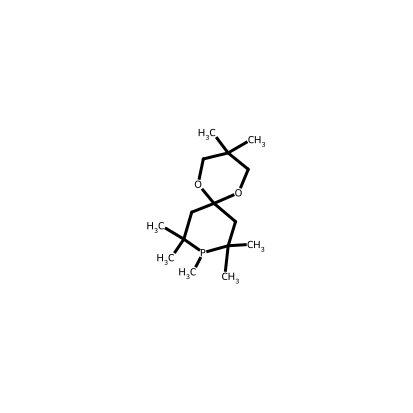 CP1C(C)(C)CC2(CC1(C)C)OCC(C)(C)CO2